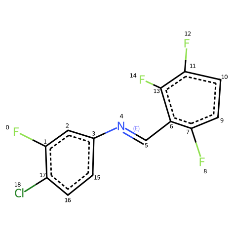 Fc1cc(/N=C/c2c(F)ccc(F)c2F)ccc1Cl